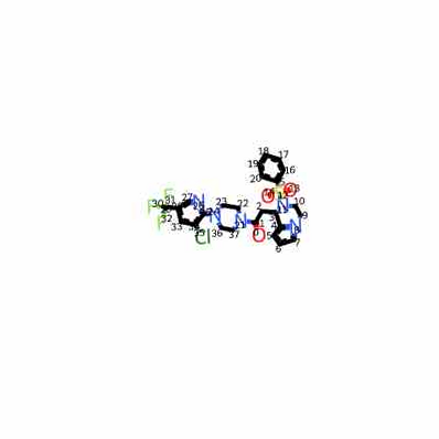 O=C(CC1c2cccn2CCN1S(=O)(=O)c1ccccc1)N1CCN(c2ncc(C(F)(F)F)cc2Cl)CC1